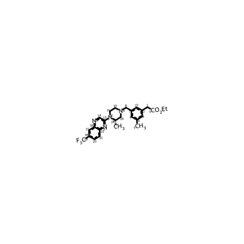 CCOC(=O)Cc1cc(C)cc(CN2CCN(c3cnc4cc(C(F)(F)F)ccc4n3)[C@@H](C)C2)c1